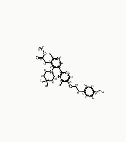 Cc1nc(-c2cnc(C)c(CC(=O)OC(C)C)c2N2CCC(C)(C)CC2)ncc1OCCc1ccc(F)cc1